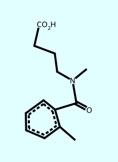 Cc1ccccc1C(=O)N(C)CCCC(=O)O